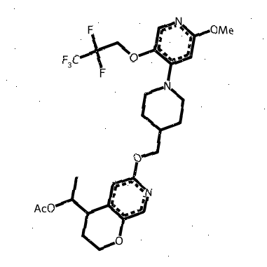 COc1cc(N2CCC(COc3cc4c(cn3)OCCC4C(C)OC(C)=O)CC2)c(OCC(F)(F)C(F)(F)F)cn1